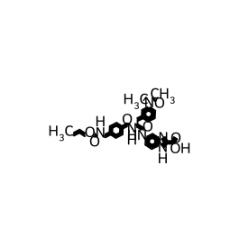 CCCCOC(=O)NCC1CCC(C(=O)N[C@@H](Cc2cccc(N(C)C(C)=O)c2)C(=O)Nc2ccc3[nH]c(C(=O)O)nc3c2)CC1